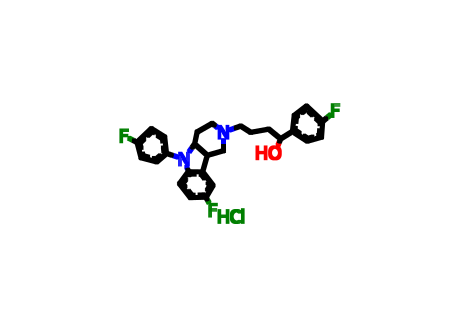 Cl.OC(CCCN1CCC2C(C1)c1cc(F)ccc1N2c1ccc(F)cc1)c1ccc(F)cc1